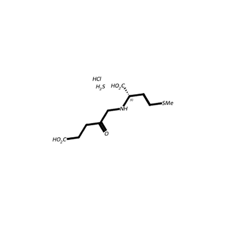 CSCC[C@H](NCC(=O)CCC(=O)O)C(=O)O.Cl.S